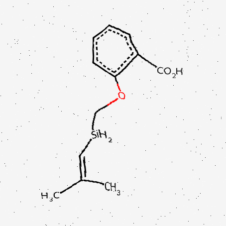 CC(C)=C[SiH2]COc1ccccc1C(=O)O